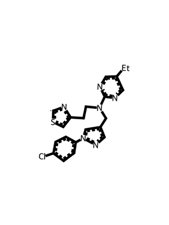 CCc1cnc(N(CCc2cs[c]n2)Cc2cnn(-c3ccc(Cl)cc3)c2)nc1